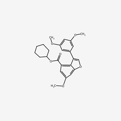 COc1cc(OC)cc(-c2coc3cc(OC)cc(C(=O)OC4CCCCC4)c23)c1